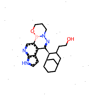 OCCC1CC2CCCC(C2)[C@H]1C1=NN2CCCOB2c2cnc3[nH]ccc3c21